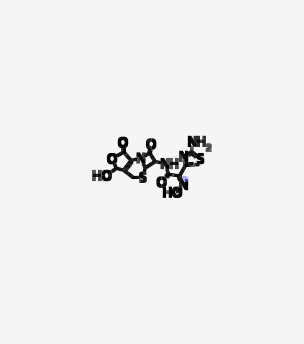 Nc1nc(/C(=N/O)C(=O)NC2C(=O)N3C4=C(CSC23)C(O)OC4=O)cs1